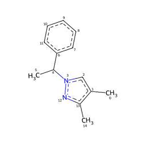 Cc1cn(C(C)c2ccccc2)nc1C